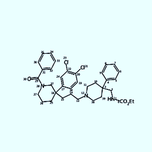 CCOC(=O)NCC1(c2ccccc2)CCN(CCCC2(c3ccc(Cl)c(Cl)c3)CCCN(C(=O)c3ccccc3)C2)CC1